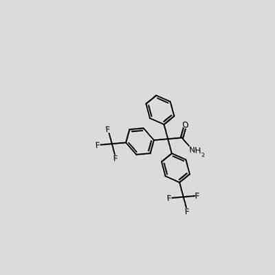 NC(=O)C(c1ccccc1)(c1ccc(C(F)(F)F)cc1)c1ccc(C(F)(F)F)cc1